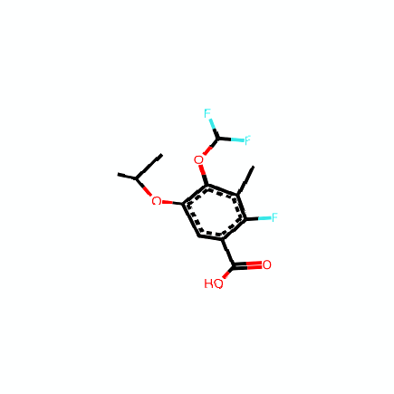 Cc1c(F)c(C(=O)O)cc(OC(C)C)c1OC(F)F